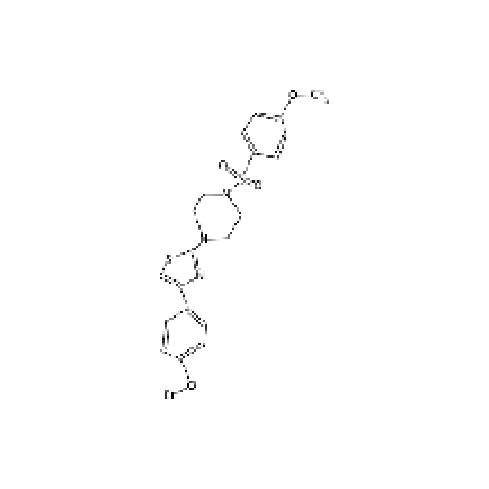 CCOc1ccc(-c2csc(N3CCN(S(=O)(=O)c4ccc(OC(F)(F)F)cc4)CC3)n2)cc1